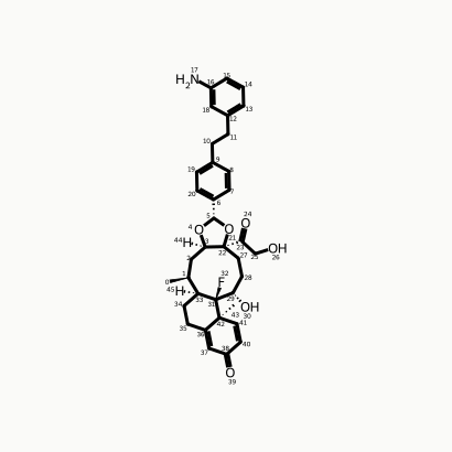 C[C@H]1C[C@H]2O[C@H](c3ccc(CCc4cccc(N)c4)cc3)O[C@@]2(C(=O)CO)CC[C@H](O)[C@@]2(F)[C@H]1CCC1=CC(=O)C=C[C@@]12C